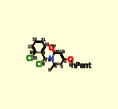 CCCCCOc1cc(C)n(C(Cl)c2ccccc2Cl)c(=O)c1